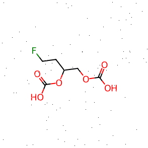 O=C(O)OCC(CCF)OC(=O)O